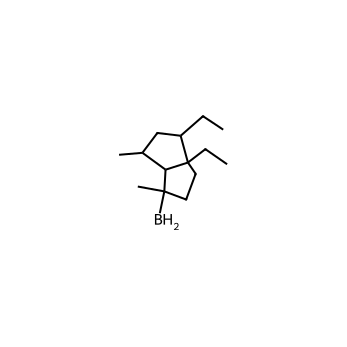 BC1(C)CCC2(CC)C(CC)CC(C)C12